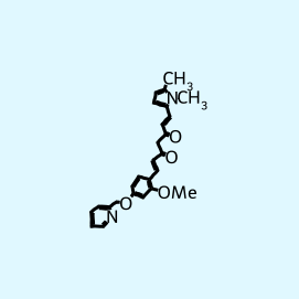 COc1cc(OCc2ccccn2)ccc1C=CC(=O)CC(=O)C=Cc1ccc(C)n1C